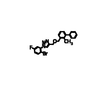 Cc1c(COCc2cn(-c3cc(F)ccc3Br)nn2)cccc1-c1ccccc1